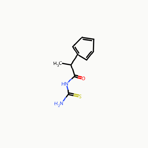 CC(C(=O)NC(N)=S)c1ccccc1